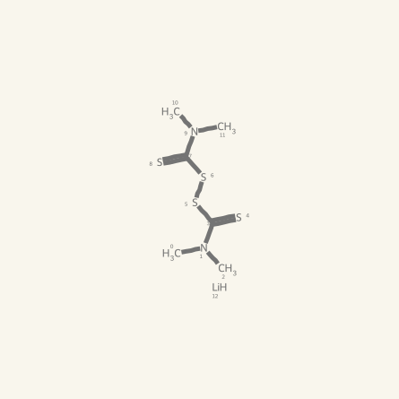 CN(C)C(=S)SSC(=S)N(C)C.[LiH]